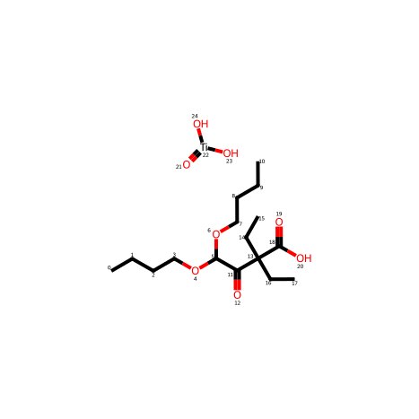 CCCCOC(OCCCC)C(=O)C(CC)(CC)C(=O)O.[O]=[Ti]([OH])[OH]